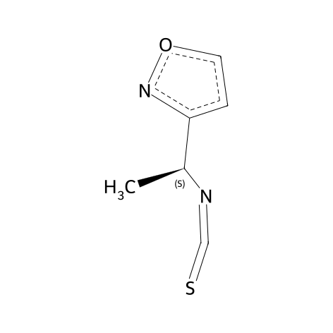 C[C@H](N=C=S)c1ccon1